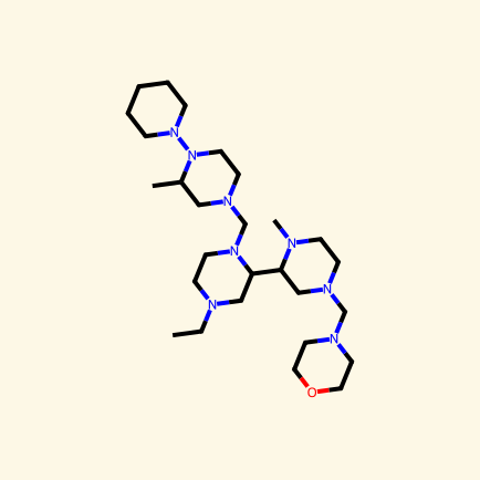 CCN1CCN(CN2CCN(N3CCCCC3)C(C)C2)C(C2CN(CN3CCOCC3)CCN2C)C1